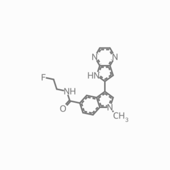 Cn1cc(-c2cc3nccnc3[nH]2)c2cc(C(=O)NCCF)ccc21